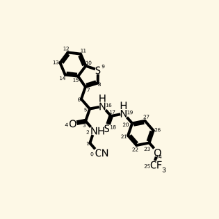 N#CCNC(=O)C(Cc1csc2ccccc12)NC(=S)Nc1ccc(OC(F)(F)F)cc1